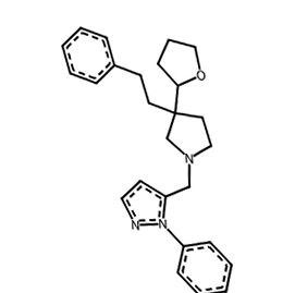 c1ccc(CCC2(C3CCCO3)CCN(Cc3ccnn3-c3ccccc3)C2)cc1